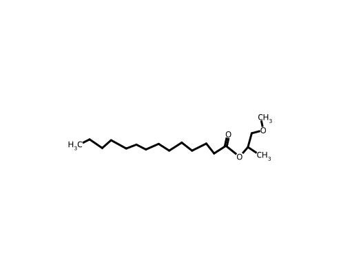 CCCCCCCCCCCCCC(=O)OC(C)COC